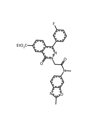 CCOC(=O)c1ccc2c(-c3cccc(F)c3)nn(CC(=O)N(C)c3ccc4nc(C)oc4c3)c(=O)c2c1